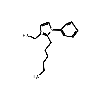 CCCCCCc1n(-c2ccccc2)cc[n+]1CC